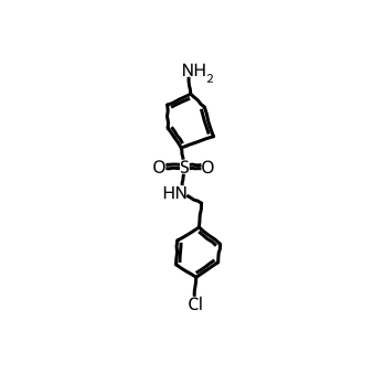 Nc1ccc(S(=O)(=O)NCc2ccc(Cl)cc2)cc1